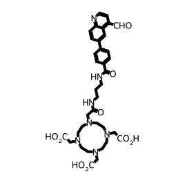 O=Cc1ccnc2ccc(-c3ccc(C(=O)NCCCNC(=O)CN4CCN(CC(=O)O)CCN(CC(=O)O)CCN(CC(=O)O)CC4)cc3)cc12